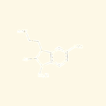 CCOC(=O)N1c2ccc(OC)cc2C(CCNC(C)=O)C1C(C)=O